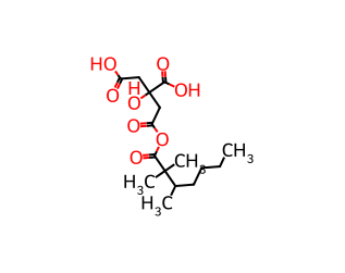 CCCCC(C)C(C)(C)C(=O)OC(=O)CC(O)(CC(=O)O)C(=O)O